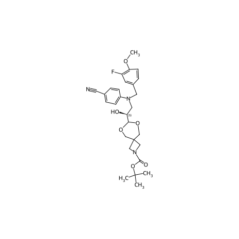 COc1ccc(CN(C[C@H](O)C2OCC3(CO2)CN(C(=O)OC(C)(C)C)C3)c2ccc(C#N)cc2)cc1F